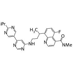 CNC(=O)c1ccnc2c(C(C)CCNc3cc(-c4cnc(C(C)C)nc4)ncn3)ccc(F)c12